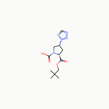 CC(C)(C)COC(=O)[C@@H]1C[C@H](n2ncnn2)CN1C(=O)O